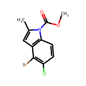 COC(=O)n1c(C)cc2c(Br)c(Cl)ccc21